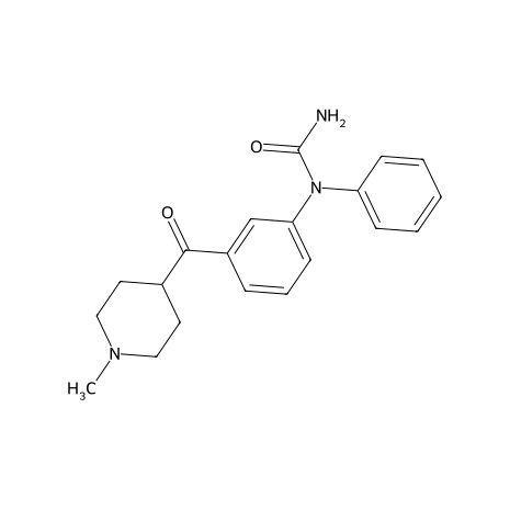 CN1CCC(C(=O)c2cccc(N(C(N)=O)c3ccccc3)c2)CC1